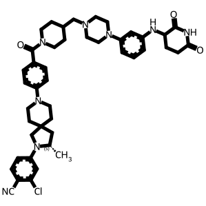 C[C@H]1CC2(CCN(c3ccc(C(=O)N4CCC(CN5CCN(c6cccc(NC7CCC(=O)NC7=O)c6)CC5)CC4)cc3)CC2)CN1c1ccc(C#N)c(Cl)c1